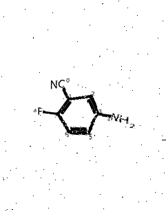 N#Cc1cc(N)ccc1F